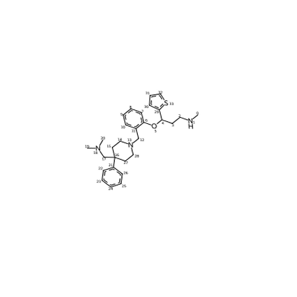 CNCCC(Oc1ccccc1CN1CCC(CN(C)C)(c2ccccc2)CC1)c1cccs1